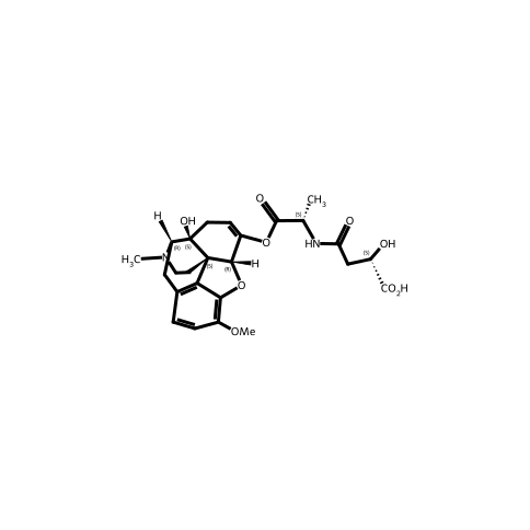 COc1ccc2c3c1O[C@H]1C(OC(=O)[C@H](C)NC(=O)C[C@H](O)C(=O)O)=CC[C@@]4(O)[C@@H](C2)N(C)CC[C@]314